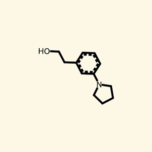 OCCc1cccc(N2CCCC2)c1